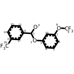 [O]C(Oc1cccc(OC(F)(F)F)c1)c1cccc(C(F)(F)F)c1